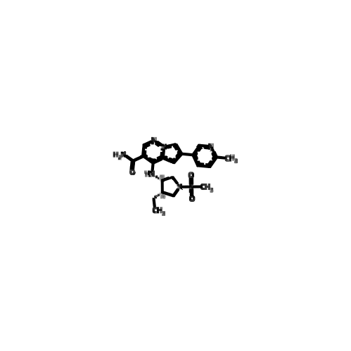 CC[C@H]1CN(S(C)(=O)=O)C[C@H]1Nc1c(C(N)=O)cnn2cc(-c3ccc(C)nc3)cc12